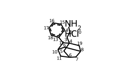 Cl.NCCC12CC3CC(CC(C3)C1c1ccccc1)C2